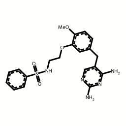 COc1ccc(Cc2cnc(N)nc2N)cc1OCCNS(=O)(=O)c1ccccc1